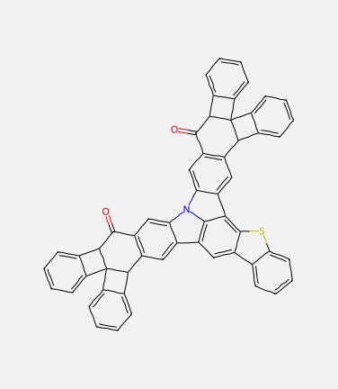 O=C1c2cc3c(cc2C2c4ccccc4C24c2ccccc2C14)c1cc2c4ccccc4sc2c2c4cc5c(cc4n3c12)C(=O)C1c2ccccc2C12c1ccccc1C52